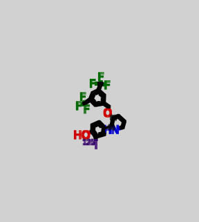 Oc1ccc([C@H]2NCCC[C@H]2OCc2cc(C(F)(F)F)cc(C(F)(F)F)c2)cc1[125I]